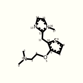 CN(C)CCOc1ccsc1Cc1nccn1C